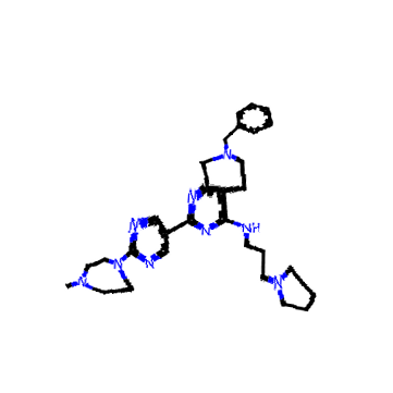 CN1CCN(c2ncc(-c3nc4c(c(NCCCN5CCCC5)n3)CCN(Cc3ccccc3)C4)cn2)CC1